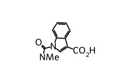 CNC(=O)n1cc(C(=O)O)c2ccccc21